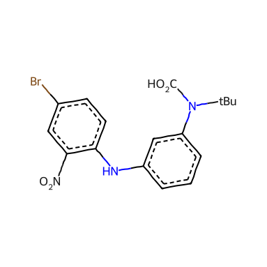 CC(C)(C)N(C(=O)O)c1cccc(Nc2ccc(Br)cc2[N+](=O)[O-])c1